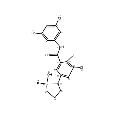 O=C(Nc1cc(Cl)cc(Br)c1)c1cc(N2CCCS2(O)O)cc(Cl)c1Cl